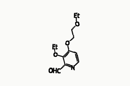 CCOCCOc1ccnc(C=O)c1OCC